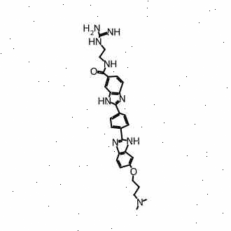 CN(C)CCCOc1ccc2nc(-c3ccc(-c4nc5ccc(C(=O)NCCNC(=N)N)cc5[nH]4)cc3)[nH]c2c1